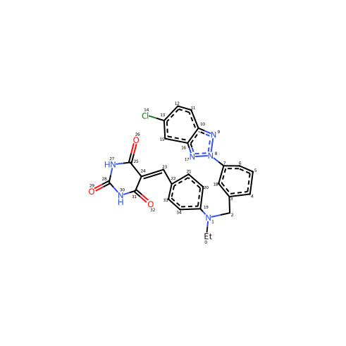 CCN(Cc1cccc(-n2nc3ccc(Cl)cc3n2)c1)c1ccc(C=C2C(=O)NC(=O)NC2=O)cc1